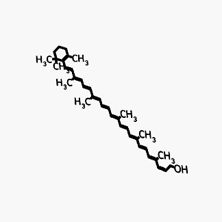 CC1=C(/C=C/C(C)=C/C=C/C(C)=C/C=C/C=C(C)/C=C/C=C(C)/C=C/C=C(C)/C=C\CO)C(C)(C)CCC1